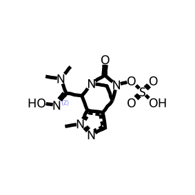 CN(C)/C(=N\O)C1c2c(cnn2C)C2CN1C(=O)N2OS(=O)(=O)O